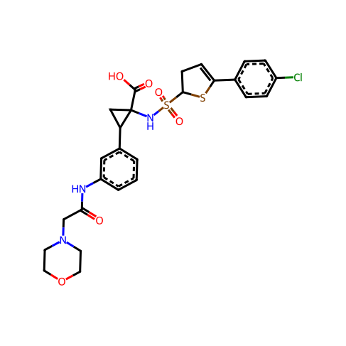 O=C(CN1CCOCC1)Nc1cccc(C2CC2(NS(=O)(=O)C2CC=C(c3ccc(Cl)cc3)S2)C(=O)O)c1